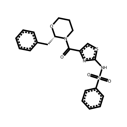 O=C(c1csc(NS(=O)(=O)c2ccccc2)n1)N1CCCO[C@H]1Cc1ccccc1